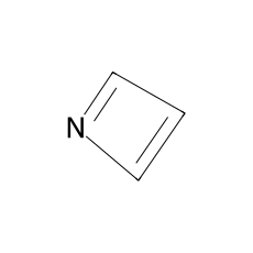 C1=CN=C1